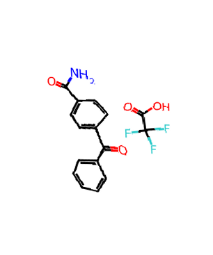 NC(=O)c1ccc(C(=O)c2ccccc2)cc1.O=C(O)C(F)(F)F